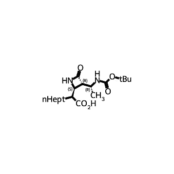 CCCCCCCC(C(=O)O)[C@H]1NC(=O)[C@@H]1[C@@H](C)NC(=O)OC(C)(C)C